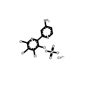 Nc1ccnc(-c2nc(Cl)c(Cl)c(Cl)c2Cl)c1.O=S(=O)([O-])[O-].[Co+2]